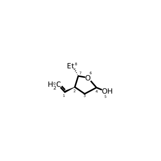 C=C[C@@H]1CC(O)O[C@H]1CC